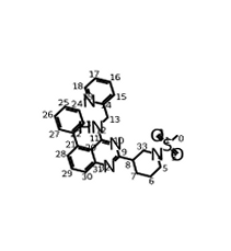 CS(=O)(=O)N1CCCC(c2nc(NCc3ccccn3)c3c(-c4ccccc4)cccc3n2)C1